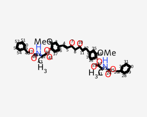 COc1cc(/C=C/C(=O)CC(=O)/C=C/c2ccc(OC(=O)[C@H](C)NC(=O)OCc3ccccc3)c(OC)c2)ccc1OC(=O)C(C)NC(=O)OCc1ccccc1